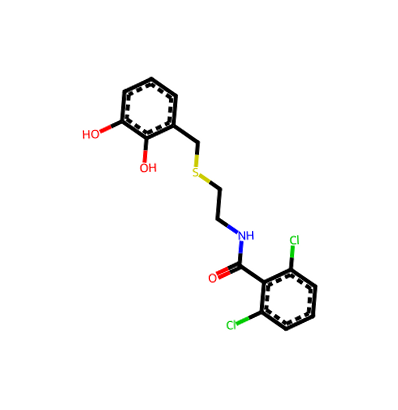 O=C(NCCSCc1cccc(O)c1O)c1c(Cl)cccc1Cl